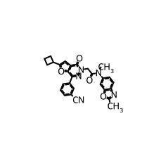 Cc1nc2ccc(N(C)C(=O)Cn3nc(-c4cccc(C#N)c4)c4oc(C5CCC5)cc4c3=O)cc2o1